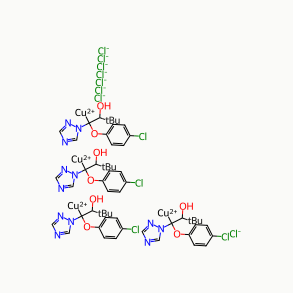 CC(C)(C)C(O)[C]([Cu+2])(Oc1ccc(Cl)cc1)n1cncn1.CC(C)(C)C(O)[C]([Cu+2])(Oc1ccc(Cl)cc1)n1cncn1.CC(C)(C)C(O)[C]([Cu+2])(Oc1ccc(Cl)cc1)n1cncn1.CC(C)(C)C(O)[C]([Cu+2])(Oc1ccc(Cl)cc1)n1cncn1.[Cl-].[Cl-].[Cl-].[Cl-].[Cl-].[Cl-].[Cl-].[Cl-]